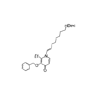 CCCCCCCCCCCCCCCCC=Cn1ccc(=O)c(OCc2ccccc2)c1CC